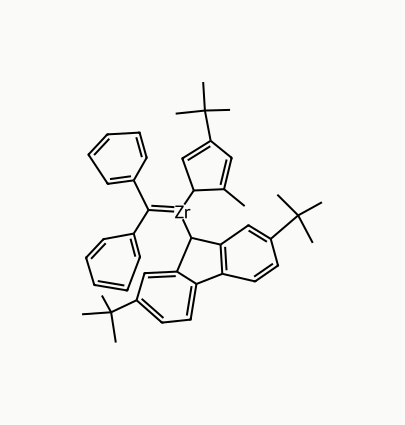 CC1=CC(C(C)(C)C)=C[CH]1[Zr](=[C](c1ccccc1)c1ccccc1)[CH]1c2cc(C(C)(C)C)ccc2-c2ccc(C(C)(C)C)cc21